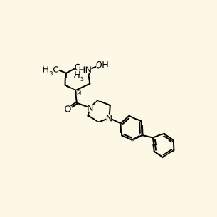 CC(C)C[C@@H](CNO)C(=O)N1CCN(c2ccc(-c3ccccc3)cc2)CC1